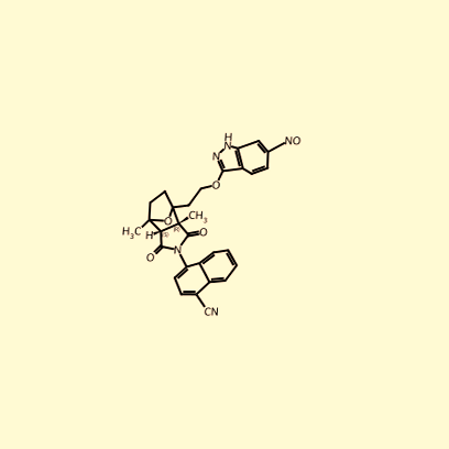 CC12CCC(CCOc3n[nH]c4cc(N=O)ccc34)(O1)[C@]1(C)C(=O)N(c3ccc(C#N)c4ccccc34)C(=O)[C@H]21